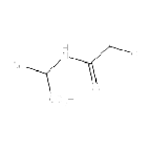 CCC(C)C(NC(=O)C[O])C(=O)O